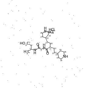 CC(CC(=O)O)NC(=O)CNC(=O)C(CCC1CCNCC1)CCC1CCNCC1.Cl.Cl